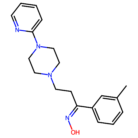 Cc1cccc(/C(CCN2CCN(c3ccccn3)CC2)=N\O)c1